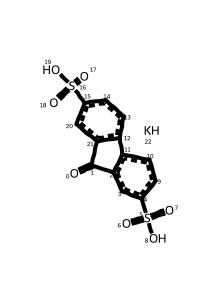 O=C1c2cc(S(=O)(=O)O)ccc2-c2ccc(S(=O)(=O)O)cc21.[KH]